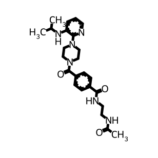 CC(=O)NCCNC(=O)c1ccc(C(=O)N2CCN(c3ncccc3NC(C)C)CC2)cc1